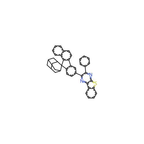 c1ccc(-c2nc3sc4ccccc4c3nc2-c2ccc3c(c2)-c2ccc4ccccc4c2C32C3CC4CC(C3)CC2C4)cc1